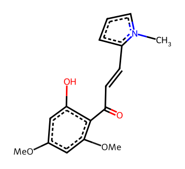 COc1cc(O)c(C(=O)/C=C/c2cccn2C)c(OC)c1